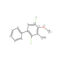 O=Cc1c(F)c(-c2ccccc2)cc(F)c1OC(F)(F)F